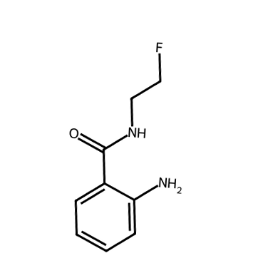 Nc1ccccc1C(=O)NCCF